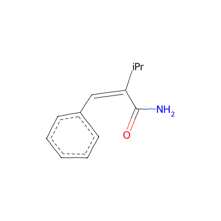 CC(C)C(=Cc1ccccc1)C(N)=O